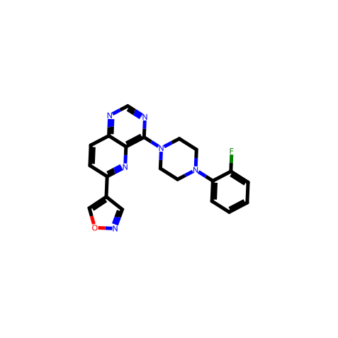 Fc1ccccc1N1CCN(c2ncnc3ccc(-c4cnoc4)nc23)CC1